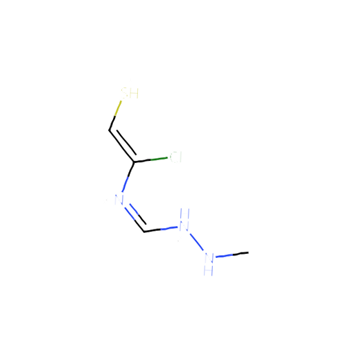 CNN/C=N\C(Cl)=C\S